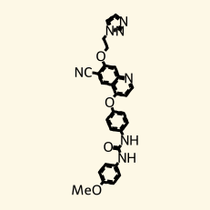 COc1ccc(NC(=O)Nc2ccc(Oc3ccnc4cc(OCCn5ccnn5)c(C#N)cc34)cc2)cc1